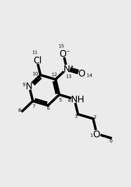 COCCNc1cc(C)nc(Cl)c1[N+](=O)[O-]